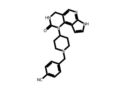 N#Cc1ccc(CN2CCC(N3C(=O)NCc4cnc5[nH]ccc5c43)CC2)cc1